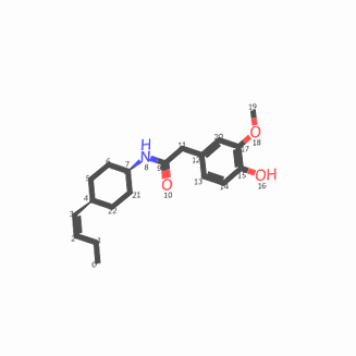 CC/C=C\[C@H]1CC[C@@H](NC(=O)Cc2ccc(O)c(OC)c2)CC1